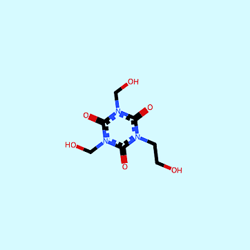 O=c1n(CO)c(=O)n(CCO)c(=O)n1CO